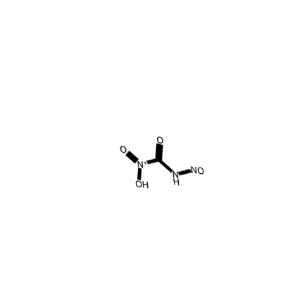 O=NNC(=O)[N+](=O)O